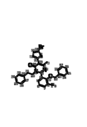 Cc1nc(-c2cccc(F)c2OCc2ccccc2)n(CCc2ccccc2)c(=O)c1-c1ccc(Br)s1